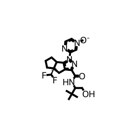 CC(C)(C)C(CO)NC(=O)c1nn(-c2c[n+]([O-])ccn2)c2c1C[C@]1(C(F)F)CCCC21